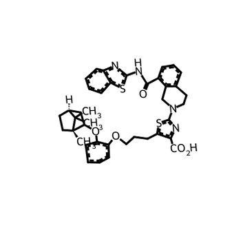 CC1(C)[C@H]2CC[C@@]1(C)C(Oc1ccccc1OCCCc1sc(N3CCc4cccc(C(=O)Nc5nc6ccccc6s5)c4C3)nc1C(=O)O)C2